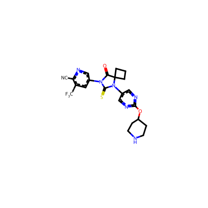 N#Cc1ncc(N2C(=O)C3(CCC3)N(c3cnc(OC4CCNCC4)nc3)C2=S)cc1C(F)(F)F